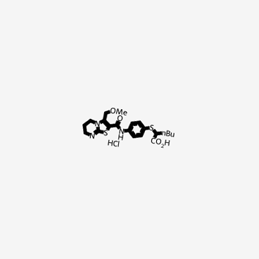 CCCCC(Sc1ccc(NC(=O)C2=C(COC)N3CCCN=C3S2)cc1)C(=O)O.Cl